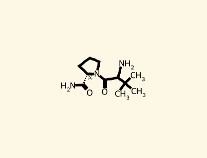 CC(C)(C)C(N)C(=O)N1CCC[C@H]1C(N)=O